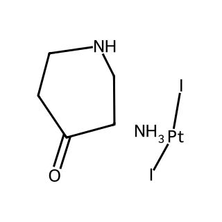 N.O=C1CCNCC1.[I][Pt][I]